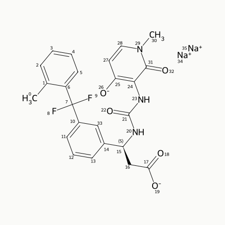 Cc1ccccc1C(F)(F)c1cccc([C@H](CC(=O)[O-])NC(=O)Nc2c([O-])ccn(C)c2=O)c1.[Na+].[Na+]